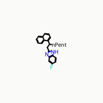 CCCCCC(Cc1nc2cc(F)ccc2[nH]1)c1cccc2ccccc12